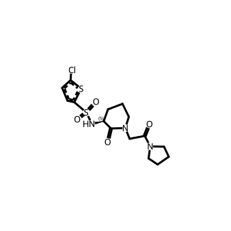 O=C(CN1CCC[C@H](NS(=O)(=O)c2ccc(Cl)s2)C1=O)N1CCCC1